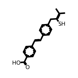 CC(C)=C(S)Cc1ccc(C=Cc2ccc(C(=O)O)cc2)cc1